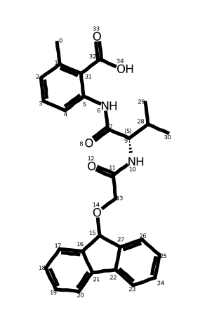 Cc1cccc(NC(=O)[C@@H](NC(=O)COC2c3ccccc3-c3ccccc32)C(C)C)c1C(=O)O